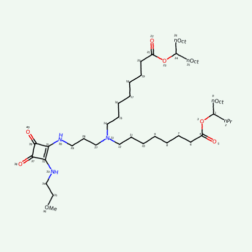 CCCCCCCCC(CCC)OC(=O)CCCCCCCN(CCCCCCCC(=O)OC(CCCCCCCC)CCCCCCCC)CCCNc1c(NCCOC)c(=O)c1=O